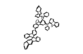 c1ccc(N(c2cc(N(c3ccccc3)c3cccc4c3sc3ccccc34)c3oc4ccc(-c5ccc6c(c5)-c5ccccc5C65c6ccccc6-c6cc7ccccc7cc65)cc4c3c2)c2cccc3c2sc2ccccc23)cc1